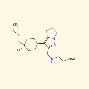 CC[C@]1(COCC(F)(F)F)CC[C@@H](c2c(CN(C)CCNC)nn3c2CCC3)CC1